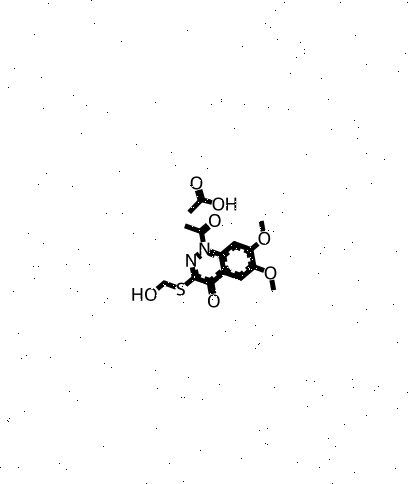 CC(=O)O.COc1cc2c(=O)c(SCO)nn(C(C)=O)c2cc1OC